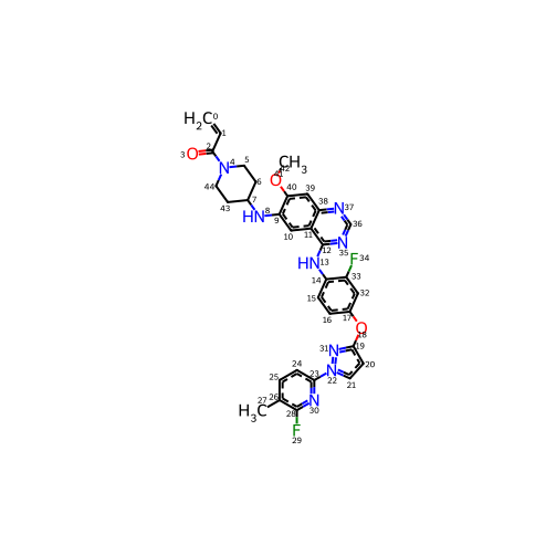 C=CC(=O)N1CCC(Nc2cc3c(Nc4ccc(Oc5ccn(-c6ccc(C)c(F)n6)n5)cc4F)ncnc3cc2OC)CC1